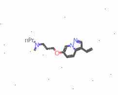 C=Cc1cnn2cc(OCCCN(C)CCC)ccc12